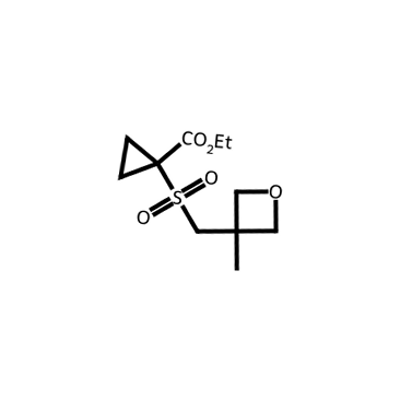 CCOC(=O)C1(S(=O)(=O)CC2(C)COC2)CC1